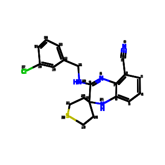 N#Cc1cccc2c1N=C(NCc1cccc(Cl)c1)C1(CCSCC1)N2